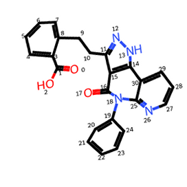 O=C(O)c1ccccc1CCc1n[nH]c2c1c(=O)n(-c1ccccc1)c1ncccc21